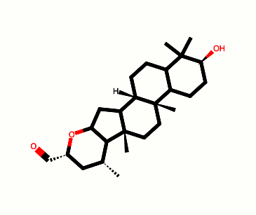 C[C@@H]1C[C@H](C=O)OC2CC3[C@@H]4CCC5C(CC[C@H](O)C5(C)C)[C@]4(C)CC[C@]3(C)C21